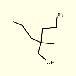 CCCC(C)(CO)CCO